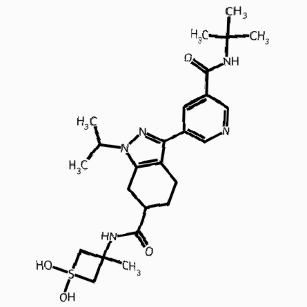 CC(C)n1nc(-c2cncc(C(=O)NC(C)(C)C)c2)c2c1CC(C(=O)NC1(C)CS(O)(O)C1)CC2